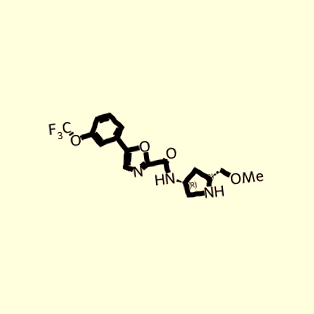 COC[C@H]1C[C@@H](NC(=O)c2ncc(-c3cccc(OC(F)(F)F)c3)o2)CN1